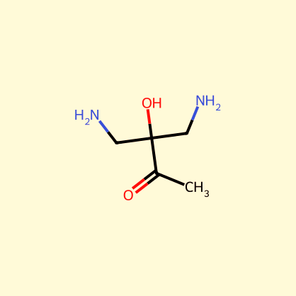 CC(=O)C(O)(CN)CN